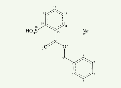 O=C(OCc1ccccc1)c1ccccc1S(=O)(=O)O.[Na]